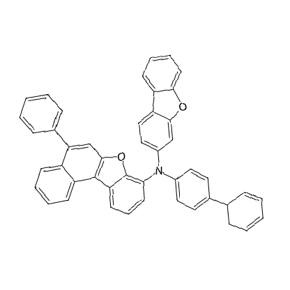 C1=CCC(c2ccc(N(c3ccc4c(c3)oc3ccccc34)c3cccc4c3oc3cc(-c5ccccc5)c5ccccc5c34)cc2)C=C1